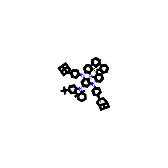 CC(C)(C)c1ccc2c(c1)C1(C)CCCCC1(C)N2c1cc2c3c(c1)N(c1ccc(C45CC6CC7CC(C4)C765)cc1)c1cccc4c1B3c1c(cccc1[Si]4(c1ccccc1)c1ccccc1)N2c1ccc(C23CC4CC5CC(C2)C54C3)cc1